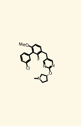 COc1ccc(Cc2cnc(O[C@@H]3CCN(C)C3)nc2)c(F)c1-c1cccc(Cl)c1